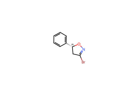 BrC1=NO[C@@H](c2ccccc2)C1